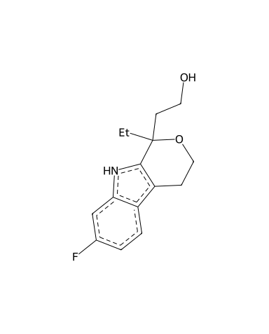 CCC1(CCO)OCCc2c1[nH]c1cc(F)ccc21